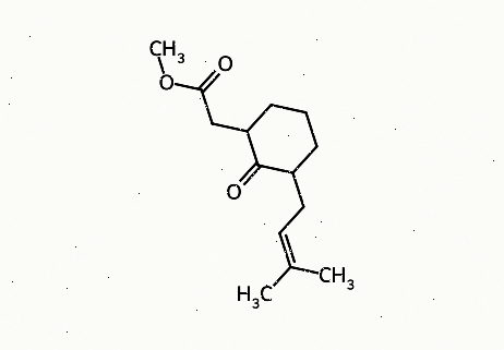 COC(=O)CC1CCCC(CC=C(C)C)C1=O